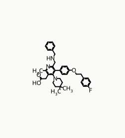 Cc1nc(CNCc2ccccc2)c(-c2ccc(OCCc3ccc(F)cc3)cc2)c(N2CCC(C)(C)CC2)c1CC(=O)O